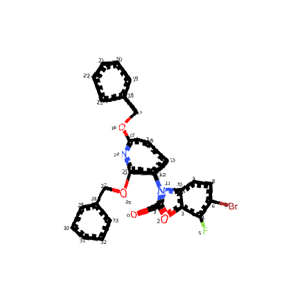 O=c1oc2c(F)c(Br)ccc2n1-c1ccc(OCc2ccccc2)nc1OCc1ccccc1